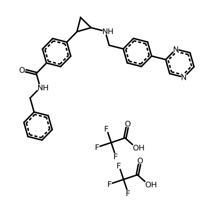 O=C(NCc1ccccc1)c1ccc(C2CC2NCc2ccc(-c3cnccn3)cc2)cc1.O=C(O)C(F)(F)F.O=C(O)C(F)(F)F